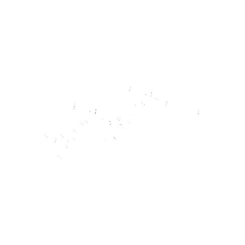 CC(=O)COCCNC(=O)CNC(=O)[C@@H](CCC(=O)O)NC(=O)CNC(=O)[C@@H](CCC(=O)O)NC(=O)CNC(=O)[C@@H](CCC(=O)O)NC(=O)CNC(=O)[C@@H](CCC(=O)O)NC(=O)CN